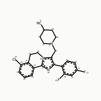 N#CC1CCN(Cc2c(-c3ccc(F)cc3F)nc3n2CCc2c(Cl)cccc2-3)CC1